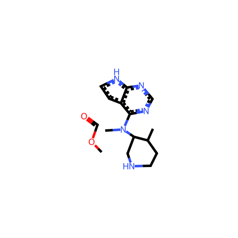 CC1CCNCC1N(C)c1ncnc2[nH]ccc12.COC=O